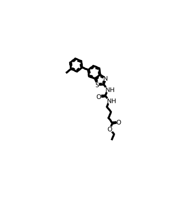 CCOC(=O)CCCNC(=O)Nc1nc2ccc(-c3cccc(C)c3)cc2s1